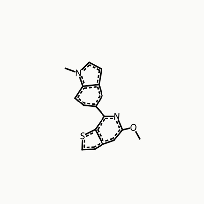 COc1cc2ccsc2c(-c2ccc3c(ccn3C)c2)n1